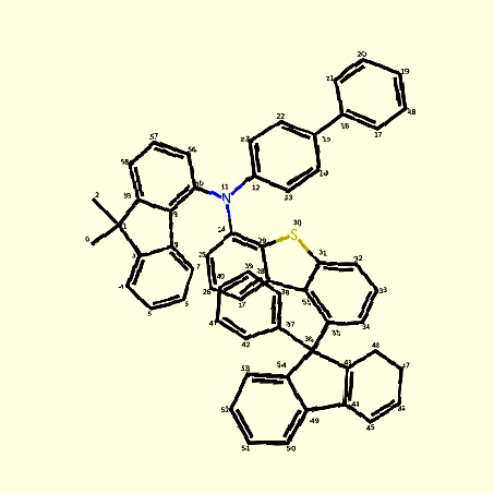 CC1(C)c2ccccc2-c2c(N(c3ccc(-c4ccccc4)cc3)c3cccc4c3sc3cccc(C5(c6ccccc6)C6=C(C=CCC6)c6ccccc65)c34)cccc21